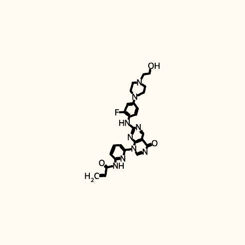 C=CC(=O)Nc1cccc(-n2cnc(=O)c3cnc(Nc4ccc(N5CCN(CCO)CC5)cc4F)nc32)n1